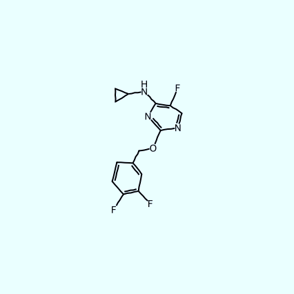 Fc1ccc(COc2ncc(F)c(NC3CC3)n2)cc1F